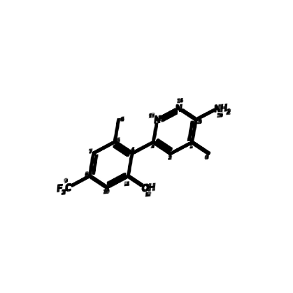 Cc1cc(-c2c(C)cc(C(F)(F)F)cc2O)nnc1N